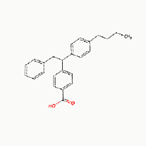 CCCCc1ccc(C(Cc2ccccc2)c2ccc(C(=O)O)cc2)cc1